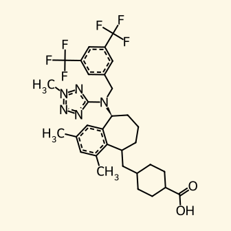 Cc1cc(C)c2c(c1)[C@@H](N(Cc1cc(C(F)(F)F)cc(C(F)(F)F)c1)c1nnn(C)n1)CCCC2CC1CCC(C(=O)O)CC1